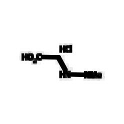 CNNCC(=O)O.Cl